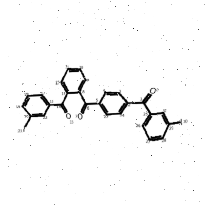 O=C(c1ccc(C(=O)c2ccccc2C(=O)c2cccc(I)c2)cc1)c1cccc(I)c1